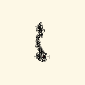 O=C1CCC(N2C(=O)c3cc(F)c(N4CCN(CC5CCN(CC(=O)N6CCN(c7nc(C8=C(c9c[nH]c%10ccccc9%10)C(=O)NC8=O)c8ccccc8n7)CC6)CC5)CC4)cc3C2=O)C(=O)N1